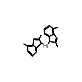 CC1=Cc2c(C)cccc2[CH]1[Hf][CH]1C(C)=Cc2c(C)cccc21